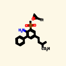 CC(CCc1cc(-c2ccccc2)c(N)c(S(C)(=O)=O)c1)C(=O)O.CCC1CO1